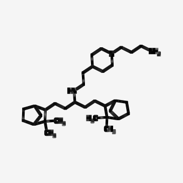 CC1(C)C2CCC(C2)C1CCC(CCC1C2CCC(C2)C1(C)C)NCCC1CCN(CCCN)CC1